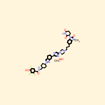 Cn1c(=O)n([C@@H]2CCC(=O)NC2=O)c2ccc(CCCN3CCN(c4cnc(-c5ccc6cn(C7CCC(CNC(=O)c8cc(F)c(O)c(F)c8F)CC7)nc6c5)cn4)CC3)cc21.O=CO